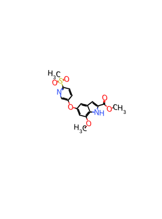 COC(=O)c1cc2cc(Oc3ccc(S(C)(=O)=O)nc3)cc(OC)c2[nH]1